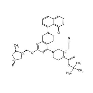 CN1C[C@H](F)C[C@@H]1COc1nc2c(c(N3CCN(C(=O)OC(C)(C)C)[C@@H](CC#N)C3)n1)CCN(c1cccc3cccc(Cl)c13)C2